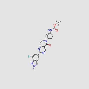 Cn1cc2cc(-c3ncc4c(=O)n(C56CCC(NC(=O)OC(C)(C)C)(CC5)C6)ccc4n3)cc(F)c2n1